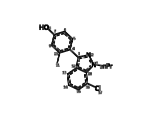 CCCn1nc(-c2ccc(O)cc2C)c2cccc(Cl)c21